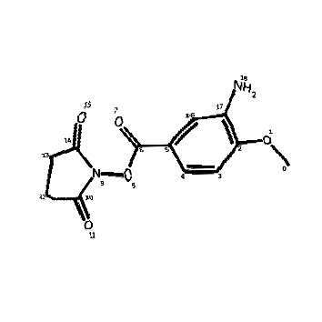 COc1ccc(C(=O)ON2C(=O)CCC2=O)cc1N